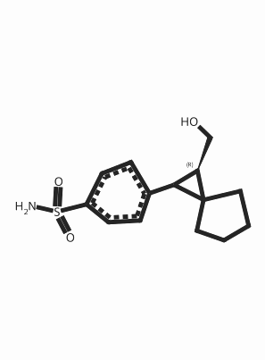 NS(=O)(=O)c1ccc(C2[C@@H](CO)C23CCCC3)cc1